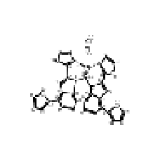 C[Si](C)=[Zr+2]([CH]1C(c2ccco2)=Cc2c(-c3ccco3)cccc21)[CH]1C(c2ccco2)=Cc2c(-c3ccco3)cccc21.[Cl-].[Cl-]